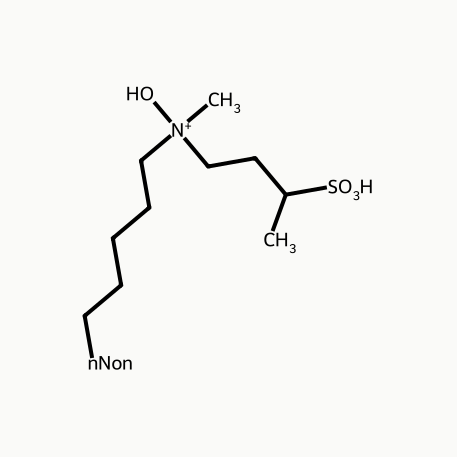 CCCCCCCCCCCCCC[N+](C)(O)CCC(C)S(=O)(=O)O